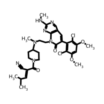 CNc1ncc2cc(-c3c(Cl)c(OC)cc(OC)c3Cl)c(=O)n(CCN(C)C3CCN(C(=O)C(C#N)=CC(C)C)CC3)c2n1